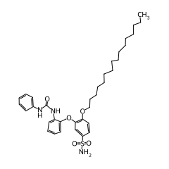 CCCCCCCCCCCCCCCCOc1ccc(S(N)(=O)=O)cc1Oc1ccccc1NC(=O)Nc1ccccc1